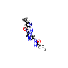 O=C(CCC(F)(F)F)NCc1cnn2cc(CNC(=O)c3cncc(C4CCC4)c3)nc2c1